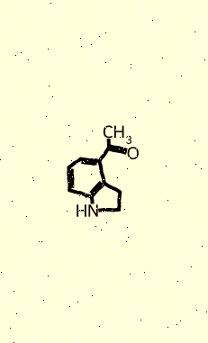 CC(=O)c1cccc2c1CCN2